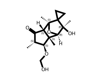 C[C@@H]1C(=O)[C@H]2[C@](C)([C@H]3O[C@]2(C)C2(CC2)[C@@]3(C)O)[C@H]1OCO